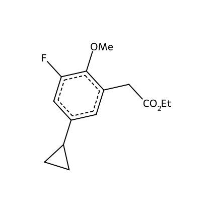 CCOC(=O)Cc1cc(C2CC2)cc(F)c1OC